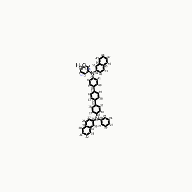 C/C=C\C(=C/C)N(c1ccc(-c2ccc(-c3ccc(N(c4ccccc4)c4ccc5ccccc5c4)cc3)cc2)cc1)c1ccc2ccccc2c1